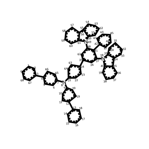 c1ccc(-c2ccc(N(c3ccc(-c4ccccc4)cc3)c3ccc(-c4cc(-n5c6ccccc6c6ccccc65)c(-c5ccccc5)c(-n5c6ccccc6c6ccccc65)c4)cc3)cc2)cc1